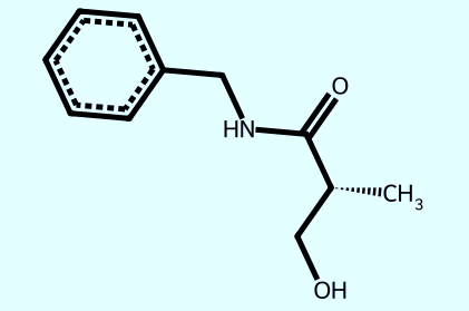 C[C@H](CO)C(=O)NCc1ccccc1